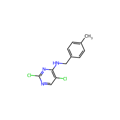 Cc1ccc(CNc2nc(Cl)ncc2Cl)cc1